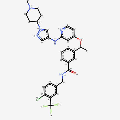 CC(Oc1ccnc(Nc2cnn(C3CCN(C)CC3)c2)c1)c1cccc(C(=O)NCc2ccc(Cl)c(C(F)(F)F)c2)c1